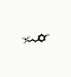 O=S(=O)(Cl)CCCc1ccc(Cl)cc1